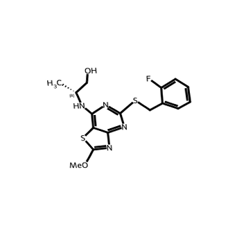 COc1nc2nc(SCc3ccccc3F)nc(N[C@H](C)CO)c2s1